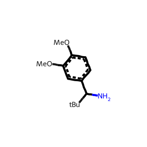 COc1ccc(C(N)C(C)(C)C)cc1OC